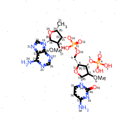 COC1[C@@H](OP(=O)(O)O)[C@@H](COP(=O)(O)O[C@@H]2C(OC)[C@H](n3cnc4c(N)ncnc43)O[C@@H]2C)O[C@H]1n1ccc(N)nc1=O